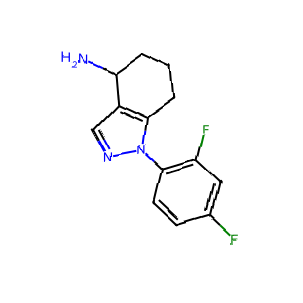 NC1CCCc2c1cnn2-c1ccc(F)cc1F